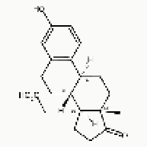 CC(=O)O.C[C@]12CC[C@@H]3c4ccc(O)cc4CC[C@H]3[C@@H]1CCC2=O